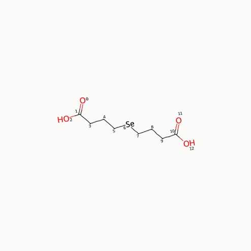 O=C(O)CCC[Se]CCCC(=O)O